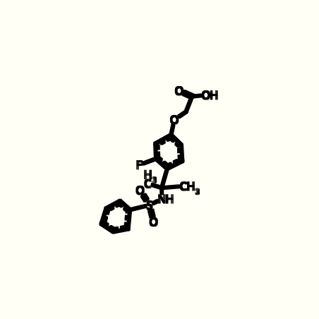 CC(C)(NS(=O)(=O)c1ccccc1)c1ccc(OCC(=O)O)cc1F